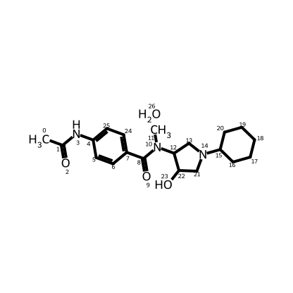 CC(=O)Nc1ccc(C(=O)N(C)C2CN(C3CCCCC3)CC2O)cc1.O